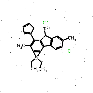 CC[Si]1(CC)c2c(C)c(C3=CC=CC3)c3c(c21)-c1ccc(C)cc1[CH]3[Ti+2].[Cl-].[Cl-]